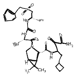 CC(C)[C@@H](CS(=O)(=O)Cc1ccccc1)NC(=O)N[C@H](C(=O)N1C[C@H]2C([C@H]1C(=O)NC(CC1CCC1)C(=O)C(N)=O)C2(C)C)C(C)(C)C